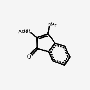 CCCC1=C(NC(C)=O)C(=O)c2ccccc21